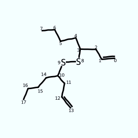 C=CCC(CCCC)SSC(CC=C)CCCC